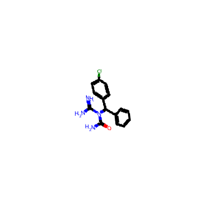 N=C(N)N(C(N)=O)C(c1ccccc1)c1ccc(Cl)cc1